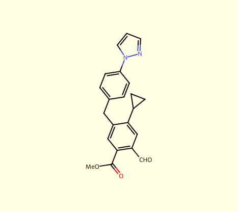 COC(=O)c1cc(Cc2ccc(-n3cccn3)cc2)c(C2CC2)cc1C=O